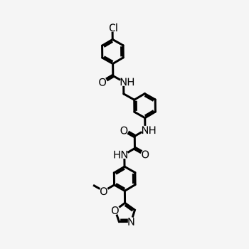 COc1cc(NC(=O)C(=O)Nc2cccc(CNC(=O)c3ccc(Cl)cc3)c2)ccc1-c1cnco1